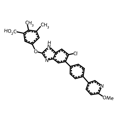 COc1ccc(-c2ccc(-c3cc4nc(Oc5cc(C)c(C)c(C(=O)O)c5)[nH]c4cc3Cl)cc2)cn1